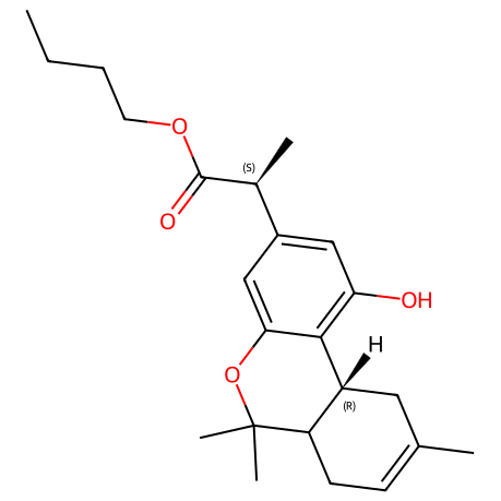 CCCCOC(=O)[C@@H](C)c1cc(O)c2c(c1)OC(C)(C)C1CC=C(C)C[C@@H]21